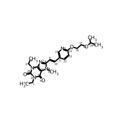 CCn1c(=O)c2c(nc(C=Cc3ccc(OCCOC(C)C)nc3)n2C)n(CC)c1=O